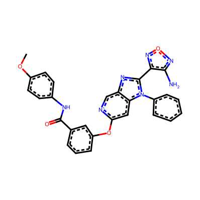 COc1ccc(NC(=O)c2cccc(Oc3cc4c(cn3)nc(-c3nonc3N)n4-c3ccccc3)c2)cc1